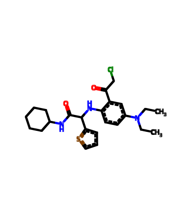 CCN(CC)c1ccc(NC(C(=O)NC2CCCCC2)c2cccs2)c(C(=O)CCl)c1